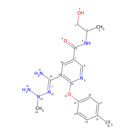 CC(CO)NC(=O)c1cnc(Oc2ccc(C(F)(F)F)cc2)c(/C(N)=N/N(C)N)c1